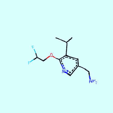 CC(C)c1cc(CN)cnc1OCC(F)F